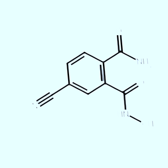 CNC(=O)c1cc(C#N)ccc1C(N)=O